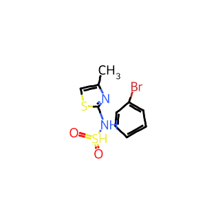 Brc1ccccc1.Cc1csc(N[SH](=O)=O)n1